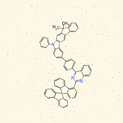 CC1(C)c2ccccc2-c2cc3c4cc(-c5ccc(-c6nc(-c7cccc8c7-c7ccccc7C87c8ccccc8-c8ccccc87)nc7ccccc67)cc5)ccc4n(-c4ccccc4)c3cc21